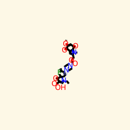 C=C(F)/C(=C\c1c(C)c(=O)c(C(=O)O)cn1CC)N1CCN(C(=O)OCc2cc3c(n2C)C(=O)C=C(OC)C3=O)CC1